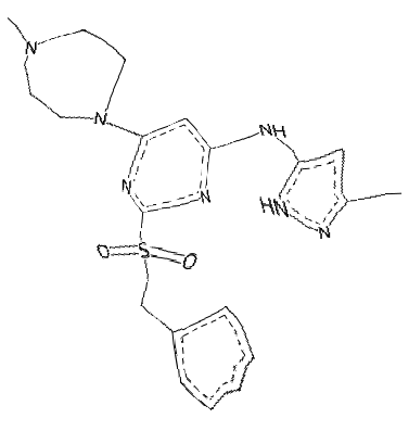 Cc1cc(Nc2cc(N3CCN(C)CC3)nc(S(=O)(=O)Cc3ccccc3)n2)[nH]n1